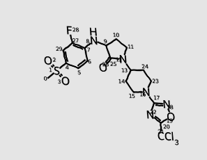 CS(=O)(=O)c1ccc(NC2CCN(C3CCN(c4noc(C(Cl)(Cl)Cl)n4)CC3)C2=O)c(F)c1